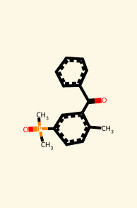 Cc1ccc(P(C)(C)=O)cc1C(=O)c1ccccc1